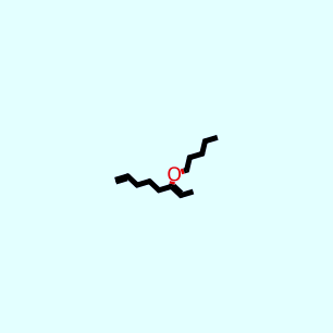 C=CCCCC(=CC)OCCCCC